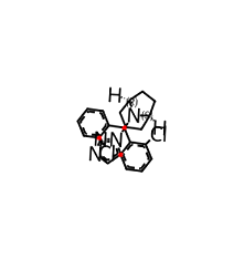 Clc1ccccc1C(c1ccccc1Cl)N1[C@@H]2CC[C@H]1CC(n1ccnn1)C2